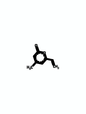 C=Cc1cc(C)cc(=O)o1